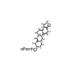 CCCCCOc1ccc2cc3c(ccc4c5ccoc5ccc34)cc2c1